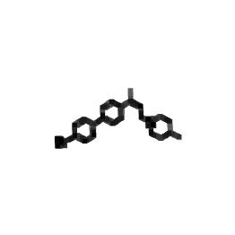 CC(=CCN1CCC(C)CC1)c1ccc(-c2ccc(Br)cc2)cc1